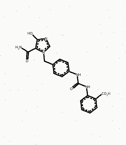 NC(=O)c1c(O)ncn1Cc1ccc(NC(=O)Nc2ccccc2C(=O)O)cc1